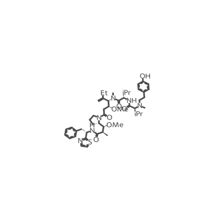 C=C(CC)[C@@H]([C@@H](CC(=O)N1CCC[C@H]1[C@H](OC)[C@@H](C)C(=O)N[C@@H](Cc1ccccc1)c1nccs1)OC)N(C)C(=O)[C@@H](NC(=O)[C@H](C(C)C)N(C)CCc1ccc(O)cc1)C(C)C